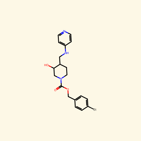 CCc1ccc(COC(=O)N2CCC(CNc3ccncc3)C(O)C2)cc1